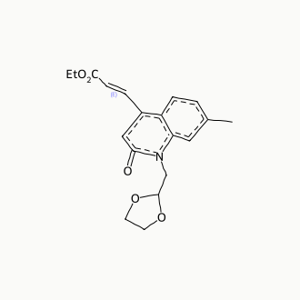 CCOC(=O)/C=C/c1cc(=O)n(CC2OCCO2)c2cc(C)ccc12